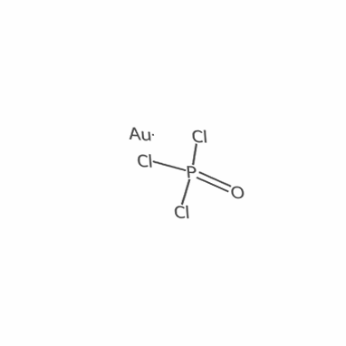 O=P(Cl)(Cl)Cl.[Au]